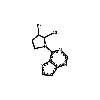 OC1C(Br)CCN1c1ncnc2ccsc12